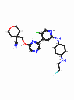 N#CC1(COc2cncc(-c3cc(NC4CCC(NCCF)CC4)ncc3Cl)n2)CCOCC1